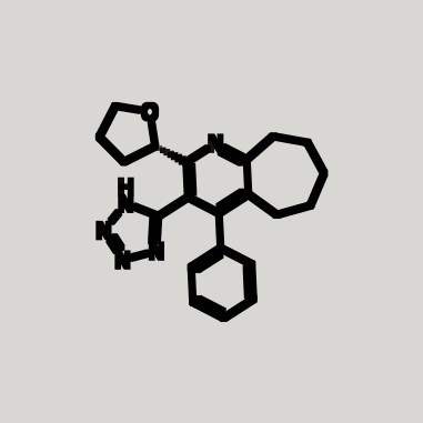 c1ccc(-c2c3c(nc([C@@H]4CCCO4)c2-c2nnn[nH]2)CCCCC3)cc1